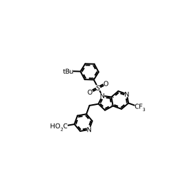 CC(C)(C)c1cccc(S(=O)(=O)n2c(Cc3cncc(C(=O)O)c3)cc3cc(C(F)(F)F)ncc32)c1